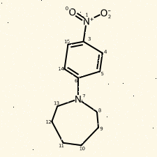 O=[N+]([O-])c1ccc(N2CCCCCC2)cc1